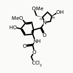 COC[C@@H]1C[C@@H](O)CN1C(=O)c1cc(OC)c(O)cc1NC(=O)OCC(Cl)(Cl)Cl